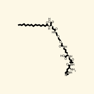 CCCCCCCCCCCCCCCC(=O)N[C@@H](CCC(=O)NCCOCCOCC(=O)NCCCC[C@H](NCC(=O)C(C)(C)NC(=O)[C@@H](N)Cc1cnc[nH]1)C(=O)O)C(=O)O